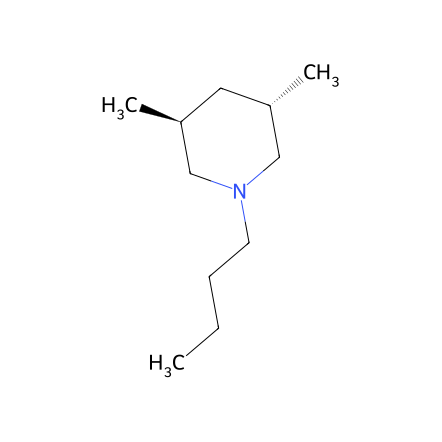 CCCCN1C[C@@H](C)C[C@H](C)C1